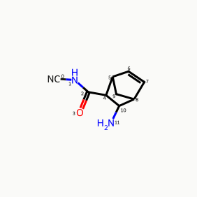 N#CNC(=O)C1C2C=CC(C2)C1N